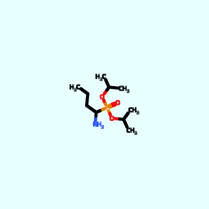 CCCC(N)P(=O)(OC(C)C)OC(C)C